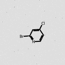 Clc1[c]cnc(Br)c1